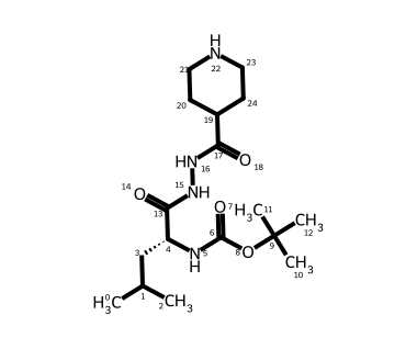 CC(C)C[C@@H](NC(=O)OC(C)(C)C)C(=O)NNC(=O)C1CCNCC1